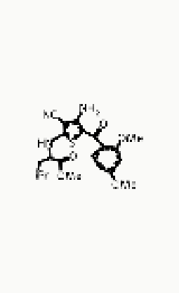 COC(=O)C(CC(C)C)Nc1sc(C(=O)c2ccc(OC)cc2OC)c(N)c1C#N